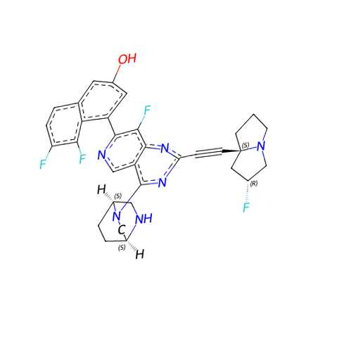 Oc1cc(-c2ncc3c(N4C[C@@H]5CC[C@H]4CN5)nc(C#C[C@@]45CCCN4C[C@H](F)C5)nc3c2F)c2c(F)c(F)ccc2c1